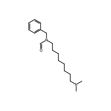 CN(C)CCCCCCCCN([C]=O)Cc1ccccc1